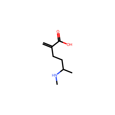 C=C(CCC(C)NC)C(=O)O